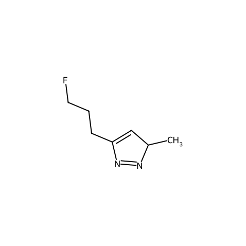 CC1C=C(CCCF)N=N1